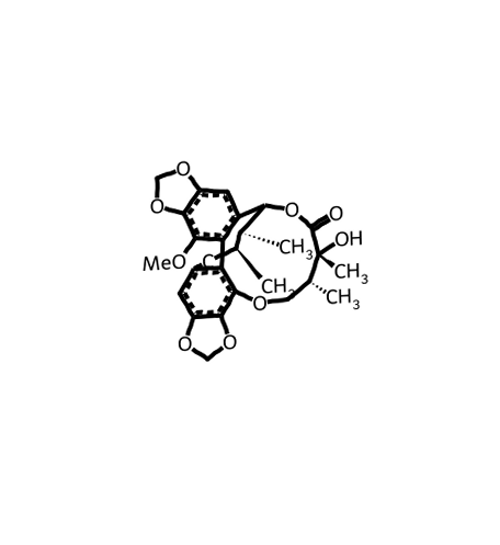 COc1c2c(cc3c1-c1c4cc5c(c1OC[C@@H](C)[C@@](C)(O)C(=O)OC3[C@@H](C)[C@@H](C)C4)OCO5)OCO2